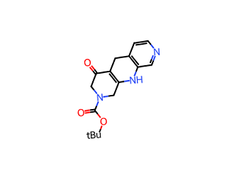 CC(C)(C)OC(=O)N1CC(=O)C2=C(C1)Nc1cnccc1C2